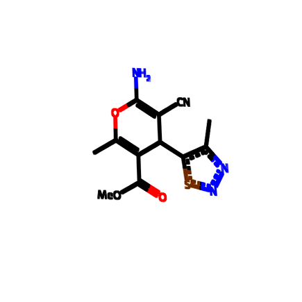 COC(=O)C1=C(C)OC(N)=C(C#N)C1c1snnc1C